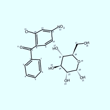 O=C(c1ccccc1)c1ccc([N+](=O)[O-])cc1Cl.OC[C@H]1O[C@H](O)[C@H](O)[C@@H](O)[C@@H]1O